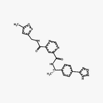 Cc1cc(CNC(=O)c2cc(C(=O)N[C@@H](C)c3ccc(-c4nnn[nH]4)cc3)ncn2)no1